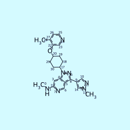 CNc1cc2c(cn1)c(-c1cnn(C)c1)nn2C1CCC(Oc2cnccc2C)CC1